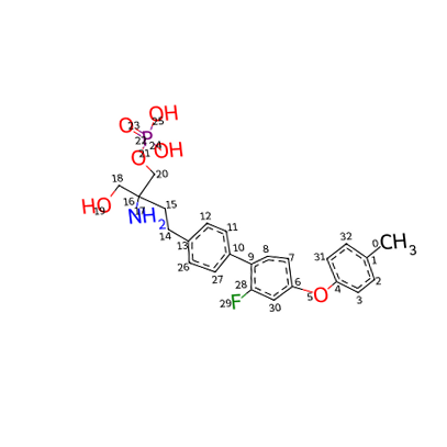 Cc1ccc(Oc2ccc(-c3ccc(CCC(N)(CO)COP(=O)(O)O)cc3)c(F)c2)cc1